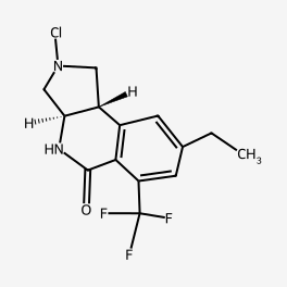 CCc1cc2c(c(C(F)(F)F)c1)C(=O)N[C@H]1CN(Cl)C[C@H]21